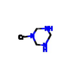 [Cr][N]1CNCNC1